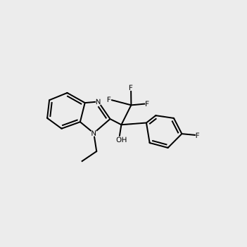 CCn1c(C(O)(c2ccc(F)cc2)C(F)(F)F)nc2ccccc21